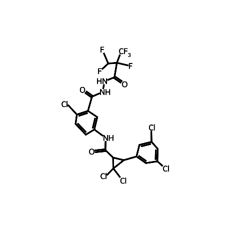 O=C(NNC(=O)C(F)(C(F)F)C(F)(F)F)c1cc(NC(=O)C2C(c3cc(Cl)cc(Cl)c3)C2(Cl)Cl)ccc1Cl